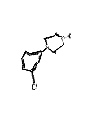 Clc1cccc(N2[CH]CNCC2)c1